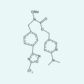 CON(Cc1ccc(-c2noc(C(F)(F)F)n2)cc1)C(=O)OCc1ccc(N(C)C)nc1